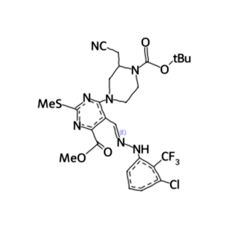 COC(=O)c1nc(SC)nc(N2CCN(C(=O)OC(C)(C)C)C(CC#N)C2)c1/C=N/Nc1cccc(Cl)c1C(F)(F)F